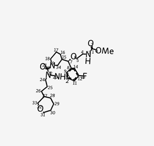 COC(=O)NCCO[C@@H](c1cccc(F)c1)C1CCCN(C(=O)N(N)CCCC2CCCCOC2)C1